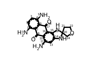 Nc1ccc(N)c2c1C(=O)c1c(N)cc3c(c1C2=O)NC1(CCOC1)N3